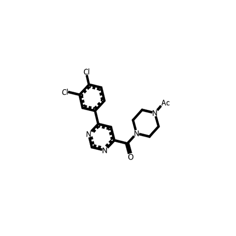 CC(=O)N1CCN(C(=O)c2cc(-c3ccc(Cl)c(Cl)c3)ncn2)CC1